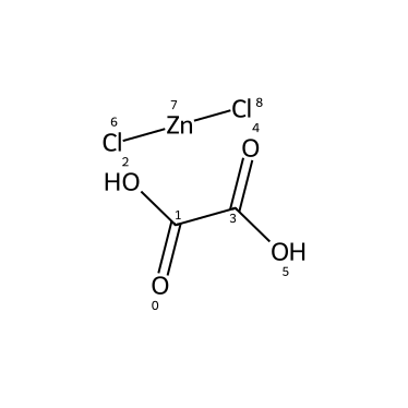 O=C(O)C(=O)O.[Cl][Zn][Cl]